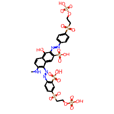 CNc1ccc2c(O)c(/N=N/c3ccc(S(=O)(=O)CCOS(=O)(=O)O)cc3)c(S(=O)(=O)O)cc2c1/N=N/c1ccc(S(=O)(=O)CCOS(=O)(=O)O)cc1S(=O)(=O)O